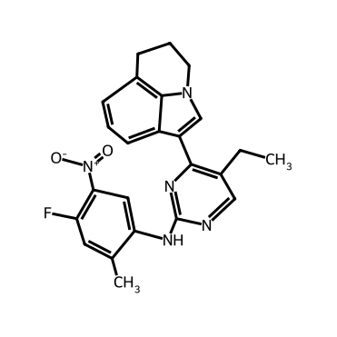 CCc1cnc(Nc2cc([N+](=O)[O-])c(F)cc2C)nc1-c1cn2c3c(cccc13)CCC2